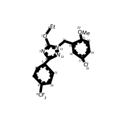 CCOc1nc(-c2ccc(C(F)(F)F)cc2)nn1Cc1cc(Cl)ccc1OC